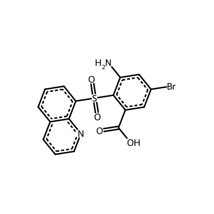 Nc1cc(Br)cc(C(=O)O)c1S(=O)(=O)c1cccc2cccnc12